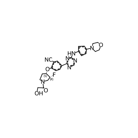 N#Cc1cc(-c2ncnc(Nc3ccc(N4CCOCC4)cc3)n2)ccc1O[C@H]1CCN(C(=O)CO)C[C@H]1F